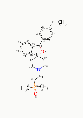 CCc1ccc(C2OC3(CCN(CCP(C)(C)=O)CC3)c3ccccc32)cc1